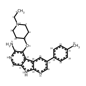 CCN1CCC(Oc2c(N)ncc3[nH]c4ncc(-c5ccc(C)cc5)cc4c23)CC1